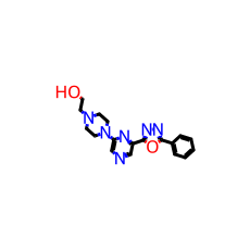 OCCN1CCN(c2cncc(-c3nnc(-c4ccccc4)o3)n2)CC1